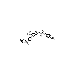 Nc1ccc(/C=C/C(=O)NCc2cc3cc(-c4ccc(C(=O)N5CCC(F)(F)CC5)cn4)c(C(F)(F)F)cc3o2)cn1